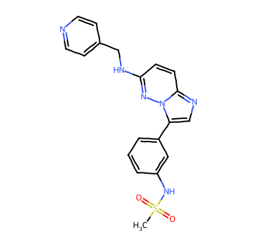 CS(=O)(=O)Nc1cccc(-c2cnc3ccc(NCc4ccncc4)nn23)c1